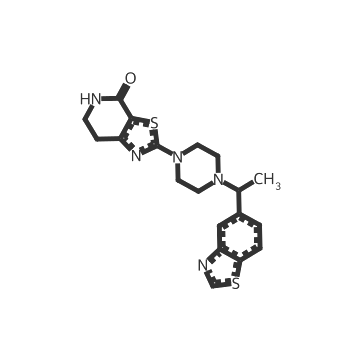 CC(c1ccc2scnc2c1)N1CCN(c2nc3c(s2)C(=O)NCC3)CC1